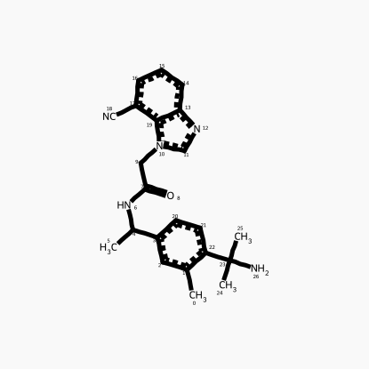 Cc1cc(C(C)NC(=O)Cn2cnc3cccc(C#N)c32)ccc1C(C)(C)N